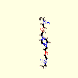 CC(C)CNCCOCCN1CCN(CCOCCNC(C)C)CC1